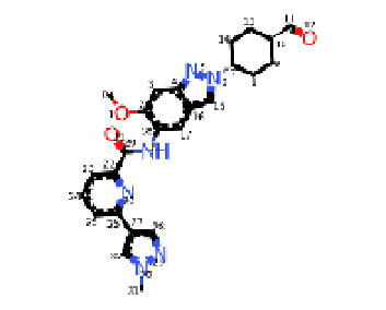 COc1cc2nn([C@H]3CC[C@H](C=O)CC3)cc2cc1NC(=O)c1cccc(-c2cnn(C)c2)n1